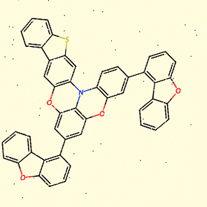 c1ccc2c(c1)oc1cccc(-c3ccc4c(c3)Oc3cc(-c5cccc6oc7ccccc7c56)cc5c3N4c3cc4sc6ccccc6c4cc3O5)c12